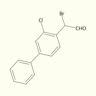 O=CC(Br)c1ccc(-c2ccccc2)cc1Cl